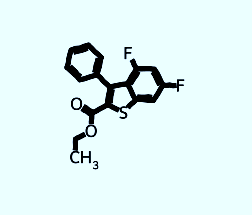 CCOC(=O)c1sc2cc(F)cc(F)c2c1-c1ccccc1